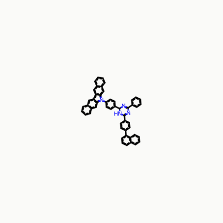 c1ccc(C2=NC(c3ccc(-n4c5cc6ccccc6cc5c5cc6ccccc6cc54)cc3)NC(c3ccc(-c4cccc5ccccc45)cc3)=N2)cc1